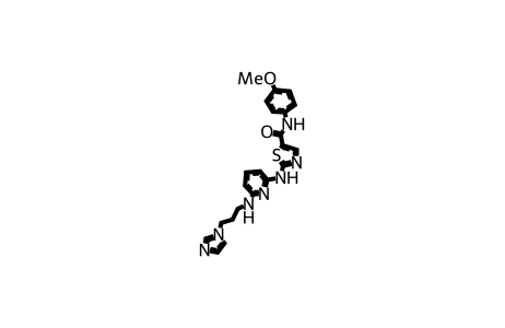 COc1ccc(NC(=O)c2cnc(Nc3cccc(NCCCn4ccnc4)n3)s2)cc1